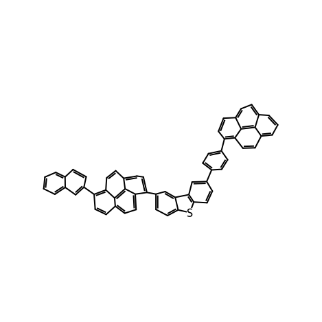 c1ccc2cc(-c3ccc4ccc5c(-c6ccc7sc8ccc(-c9ccc(-c%10ccc%11ccc%12cccc%13ccc%10c%11c%12%13)cc9)cc8c7c6)ccc6ccc3c4c65)ccc2c1